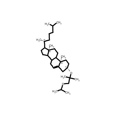 CC(C)CCC[C@@H](C)C1CCC2C3CC=C4C[C@@H](OC(C)(C)COC(C)C)CC[C@]4(C)C3CC[C@@]21C